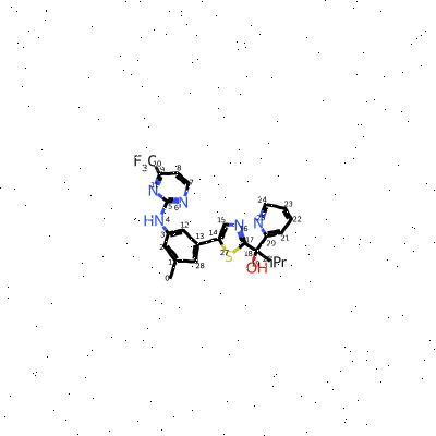 Cc1cc(Nc2nccc(C(F)(F)F)n2)cc(-c2cnc(C(O)(c3ccccn3)C(C)C)s2)c1